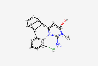 Cn1c(N)nc(C2C3C=CC(CC3)C2c2cccc(Br)c2)cc1=O